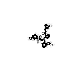 Cc1ccccc1CN(CC(=O)Nc1cccc(Cl)c1)C[C@@H]1CCCN1C(=O)CCc1c[nH]cn1